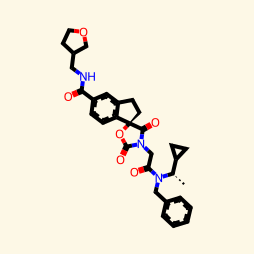 C[C@@H](C1CC1)N(Cc1ccccc1)C(=O)CN1C(=O)O[C@@]2(CCc3cc(C(=O)NCC4CCOC4)ccc32)C1=O